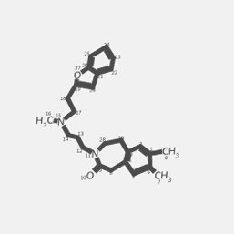 Cc1cc2c(cc1C)CC(=O)N(CCCN(C)CCc1cc3ccccc3o1)CC2